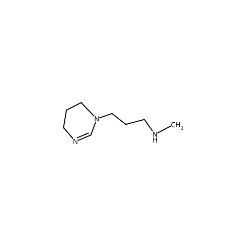 CNCCCN1C=NCCC1